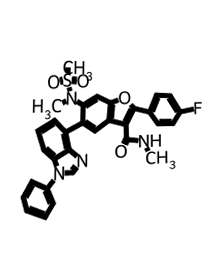 CNC(=O)c1c(-c2ccc(F)cc2)oc2cc(N(C)S(C)(=O)=O)c(-c3cccc4c3ncn4-c3ccccc3)cc12